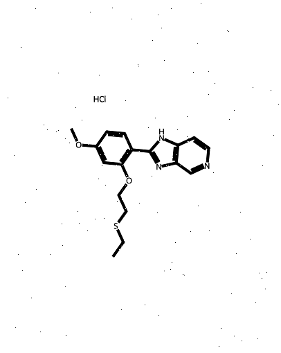 CCSCCOc1cc(OC)ccc1-c1nc2cnccc2[nH]1.Cl